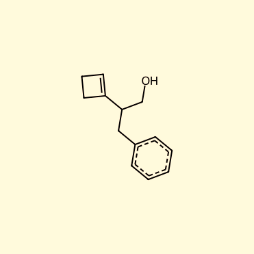 OCC(Cc1ccccc1)C1=CCC1